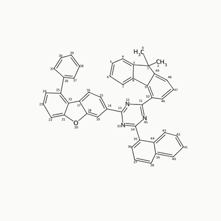 CC1(C)c2ccccc2-c2c(-c3nc(-c4ccc5c(c4)oc4cccc(-c6ccccc6)c45)nc(-c4cccc5ccccc45)n3)cccc21